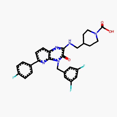 O=C(O)N1CCC(CNc2nc3ccc(-c4ccc(F)cc4)nc3n(Cc3cc(F)cc(F)c3)c2=O)CC1